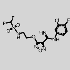 N=C(Nc1ccc(F)c(Cl)c1)c1nonc1OCCNS(=O)(=O)C(F)F